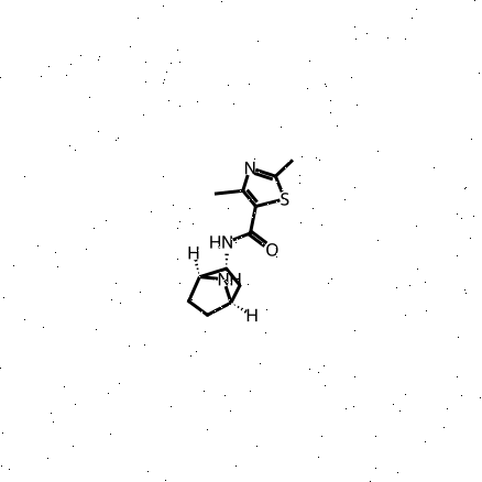 Cc1nc(C)c(C(=O)N[C@@H]2C[C@H]3CC[C@@H]2N3)s1